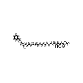 CCOC(=O)C[C@H](O)CCCCCCCCCCCC/C=C/CC/C=C/C[C@@H](C)OCOCc1ccccc1